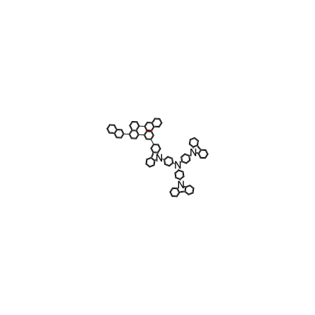 c1cc(-c2ccc3c(c2)c2ccccc2n3-c2ccc(N(c3ccc(-n4c5ccccc5c5ccccc54)cc3)c3ccc(-n4c5ccccc5c5ccccc54)cc3)cc2)cc(-c2ccc(-c3ccc4ccccc4c3)c3cccc(-c4ccc5ccccc5c4)c23)c1